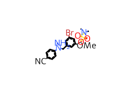 COc1cc(CN(N)c2ccc(C#N)cc2)cc(Br)c1OS(=O)(=O)N(C)C